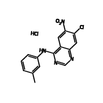 Cc1cccc(Nc2ncnc3cc(Cl)c([N+](=O)[O-])cc23)c1.Cl